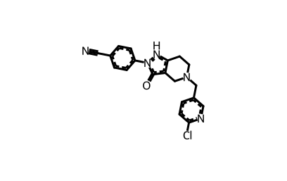 N#Cc1ccc(-n2[nH]c3c(c2=O)CN(Cc2ccc(Cl)nc2)CC3)cc1